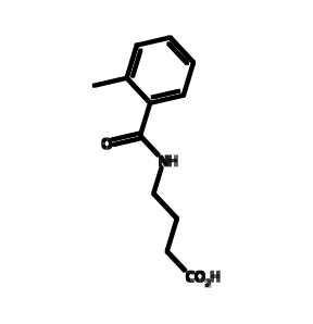 Cc1ccccc1C(=O)NCCCC(=O)O